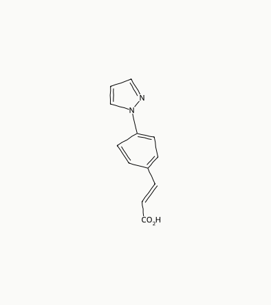 O=C(O)C=Cc1ccc(-n2cccn2)cc1